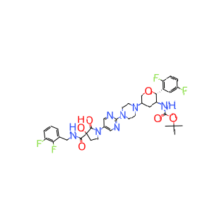 CC(C)(C)OC(=O)N[C@H]1C[C@@H](N2CCN(c3ncc(N4CCC(O)(C(=O)NCc5cccc(F)c5F)C4=O)cn3)CC2)CO[C@@H]1c1cc(F)ccc1F